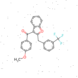 COc1ccc(C(=O)c2c(Cc3cccc(C(F)(F)F)c3)oc3ccccc23)cc1